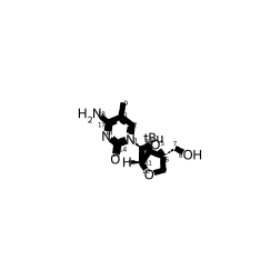 Cc1cn([C@@H]2O[C@@]3(CO)CO[C@H]2C3C(C)(C)C)c(=O)nc1N